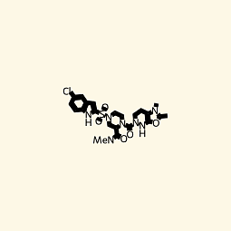 CNC(=O)C1CN(S(=O)(=O)c2cc3cc(Cl)ccc3[nH]2)CCN1C(=O)N1CCC2=C(N1)OC(C)N2C